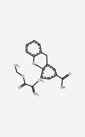 C=C(C)C(=O)OCC.O=C(O)c1ccc2c(c1)Cc1ccccc1O2